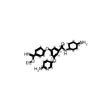 CCOC(=N)c1ccc(Oc2cc(Oc3ccc(N)nc3)cc(C(=O)NC3CCC(N)CC3)c2)cc1